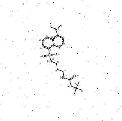 CN(C)c1cccc2c(S(=O)(=O)NCCCNC(=O)OC(C)(C)C)cccc12